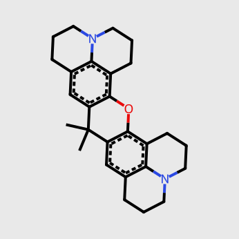 CC1(C)c2cc3c4c(c2Oc2c1cc1c5c2CCCN5CCC1)CCCN4CCC3